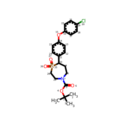 CC(C)(C)OC(=O)N1CCC(c2ccc(Oc3ccc(Cl)cc3)cc2)S(=O)(=O)CC1